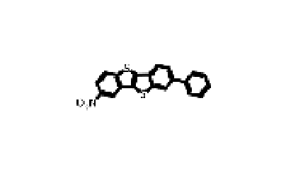 O=[N+]([O-])c1ccc2sc3c4ccc(-c5ccccc5)cc4sc3c2c1